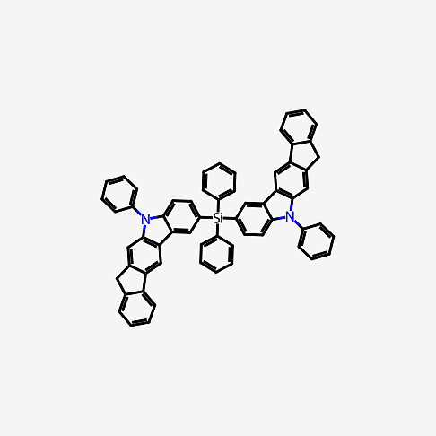 c1ccc(-n2c3ccc([Si](c4ccccc4)(c4ccccc4)c4ccc5c(c4)c4cc6c(cc4n5-c4ccccc4)Cc4ccccc4-6)cc3c3cc4c(cc32)Cc2ccccc2-4)cc1